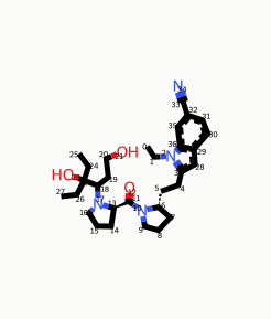 CCn1c(CC[C@@H]2CCCN2C(=O)[C@H]2CCCN2C(CCO)C(O)(CC)CC)cc2ccc(C#N)cc21